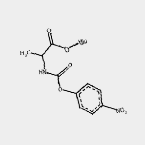 CC(NC(=O)Oc1ccc([N+](=O)[O-])cc1)C(=O)OC(C)(C)C